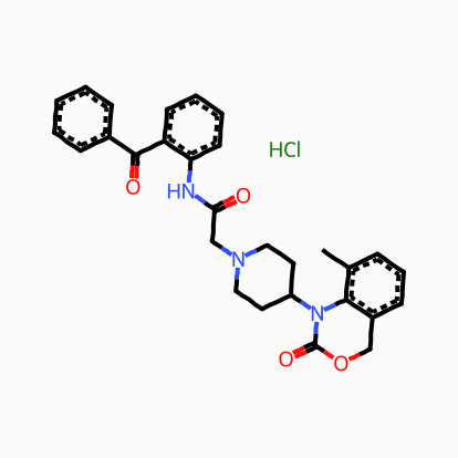 Cc1cccc2c1N(C1CCN(CC(=O)Nc3ccccc3C(=O)c3ccccc3)CC1)C(=O)OC2.Cl